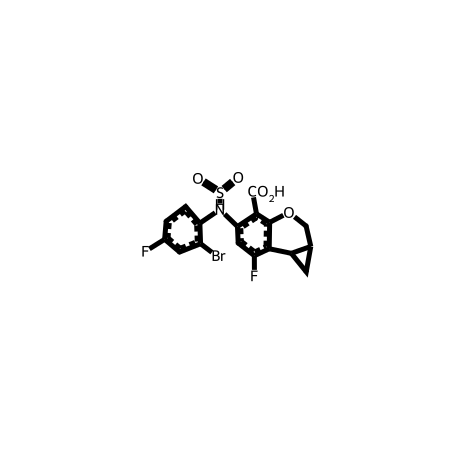 O=C(O)c1c(N(c2ccc(F)cc2Br)[SH](=O)=O)cc(F)c2c1OCC1CC21